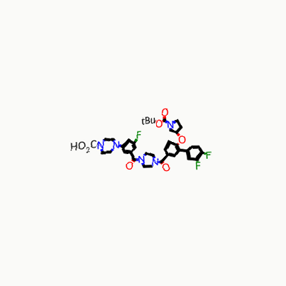 CC(C)(C)OC(=O)N1CCC(Oc2ccc(C(=O)N3CCN(C(=O)c4cc(F)cc(N5CCN(C(=O)O)CC5)c4)CC3)cc2-c2ccc(F)c(F)c2)C1